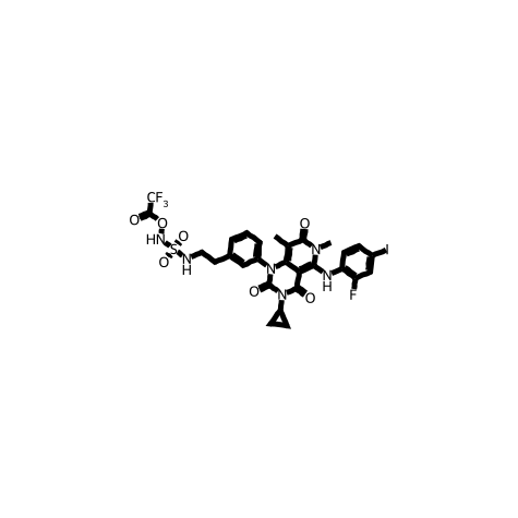 Cc1c(=O)n(C)c(Nc2ccc(I)cc2F)c2c(=O)n(C3CC3)c(=O)n(-c3cccc(CCNS(=O)(=O)NOC(=O)C(F)(F)F)c3)c12